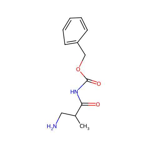 CC(CN)C(=O)NC(=O)OCc1ccccc1